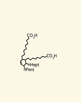 CCCCCCCC1C(CCCCC)C=CC(CCCCCCCCC(=O)O)C1CCCCCCCCC(=O)O